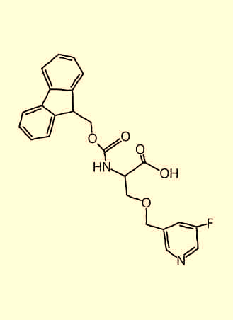 O=C(NC(COCc1cncc(F)c1)C(=O)O)OCC1c2ccccc2-c2ccccc21